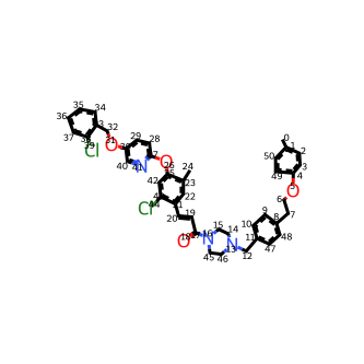 Cc1ccc(OCCc2ccc(CN3CCN(C(=O)/C=C/c4cc(C)c(Oc5ccc(OCc6ccccc6Cl)cn5)cc4Cl)CC3)cc2)cc1